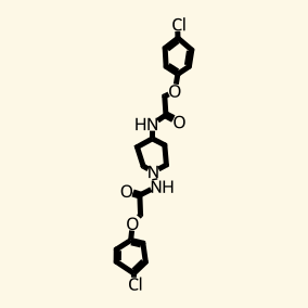 O=C(COc1ccc(Cl)cc1)NC1CCN(NC(=O)COc2ccc(Cl)cc2)CC1